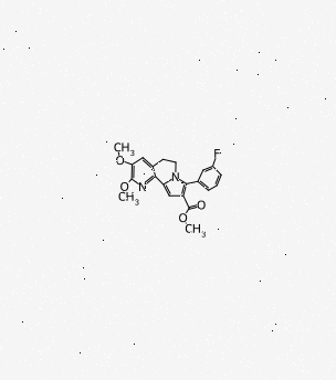 COC(=O)c1cc2n(c1-c1cccc(F)c1)CCc1cc(OC)c(OC)nc1-2